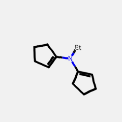 CCN(C1=CCCC1)C1=CCCC1